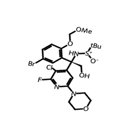 COCOc1ccc(Br)cc1[C@](CO)(N[S+]([O-])C(C)(C)C)c1cc(N2CCOCC2)nc(F)c1Cl